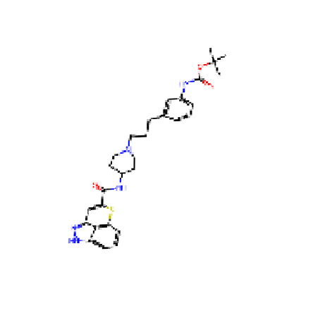 CC(C)(C)OC(=O)Nc1cccc(CCCN2CCC(NC(=O)C3=Cc4n[nH]c5cccc(c45)S3)CC2)c1